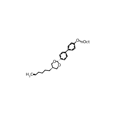 C=CCCCC[C@H]1CO[C@H](c2ccc(-c3ccc(OCCCCCCCC)cc3)cc2)OC1